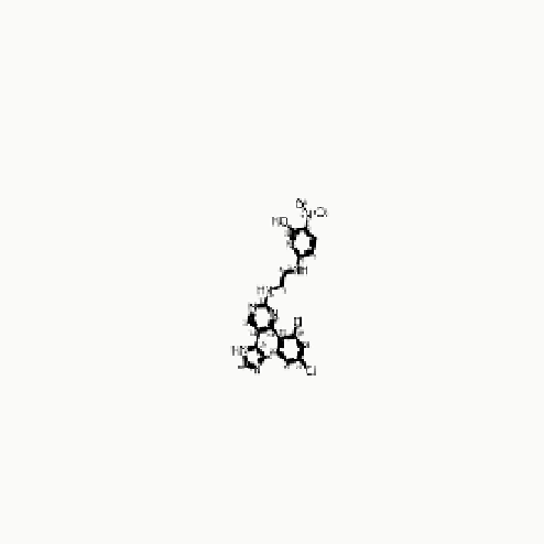 O=[N+]([O-])c1ccc(NCCNc2ncc(-c3cnc[nH]3)c(-c3ccc(Cl)cc3Cl)n2)nc1O